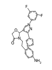 Nc1ccc(CCN2C(=O)COC2c2cn(-c3cc(F)cc(F)c3)nc2-c2ccsc2)cc1